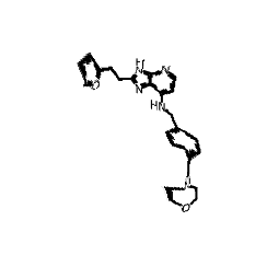 c1coc(CCc2nc3c(NCc4ccc(N5CCOCC5)cc4)ccnc3[nH]2)c1